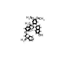 CCN(c1cc(OC)c(OC)cc1[C@@H]1CCc2cc(O)ccc2C1)C(C)c1ccc(OCCN(C)C2CCOCC2)cc1